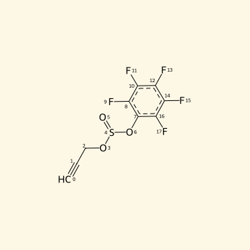 C#CCOS(=O)Oc1c(F)c(F)c(F)c(F)c1F